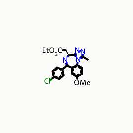 CCOC(=O)C[C@@H]1N=C(c2ccc(Cl)cc2)c2cc(OC)ccc2-n2c(C)nnc21